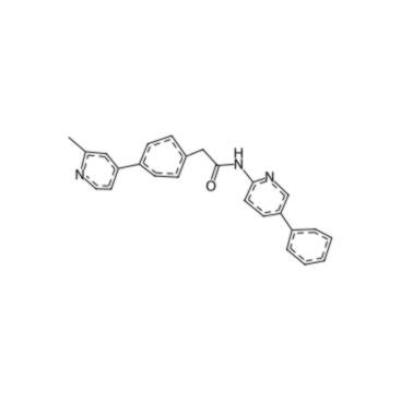 Cc1cc(-c2ccc(CC(=O)Nc3ccc(-c4ccccc4)cn3)cc2)ccn1